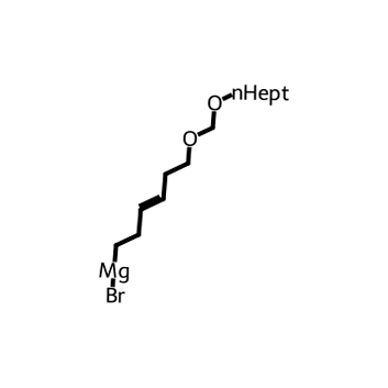 CCCCCCCOCOCC/C=C/C[CH2][Mg][Br]